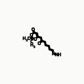 CC1(C)OC(=O)C=C(CC(=O)CCCCCN=N)O1